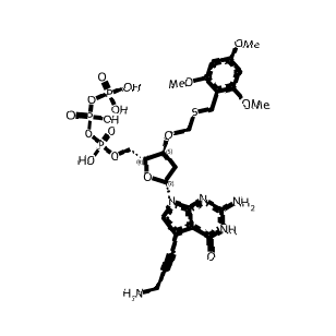 COc1cc(OC)c(CSCO[C@H]2C[C@H](n3cc(C#CCN)c4c(=O)[nH]c(N)nc43)O[C@@H]2COP(=O)(O)OP(=O)(O)OP(=O)(O)O)c(OC)c1